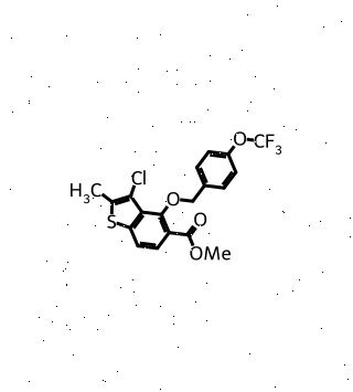 COC(=O)c1ccc2sc(C)c(Cl)c2c1OCc1ccc(OC(F)(F)F)cc1